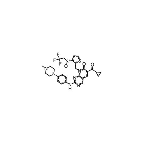 CN1CCN(c2ccc(Nc3ncc4cc(C(=O)C5CC5)c(=O)n(Cc5sccc5[S+]([O-])CC(F)(F)F)c4n3)cc2)CC1